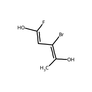 C/C(O)=C(/Br)C=C(O)F